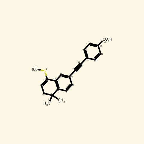 CC(C)(C)SC1=CCC(C)(C)c2ccc(C#Cc3ccc(C(=O)O)cc3)cc21